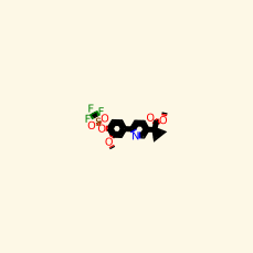 COC(=O)C1(c2ccc(-c3ccc(OS(=O)(=O)C(F)(F)F)c(OC)c3)nc2)CC1